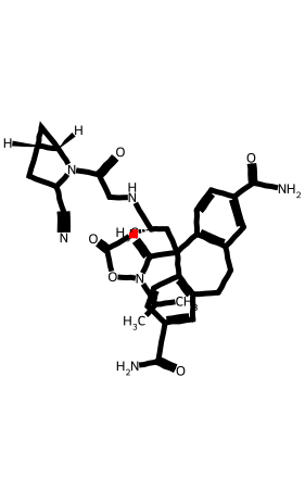 CC(C)n1oc(=O)nc1C1(C[C@H](C)NCC(=O)N2C(C#N)C[C@@H]3C[C@@H]32)c2ccc(C(N)=O)cc2CCc2cc(C(N)=O)ccc21